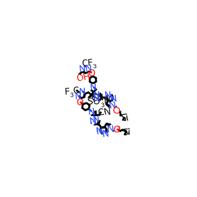 C[Si](C)(C)CCOCn1ccc2c(-c3cnn(C4(CC#N)CN(C5CCC(Oc6cc(CC(C#N)(CS(=O)(=O)O)C7(n8cc(-c9ncnc%10c9ccn%10COCC[Si](C)(C)C)cn8)CN(C8CCC(Oc9cc(CO)nc(C(F)(F)F)n9)CC8)C7)nc(C(F)(F)F)n6)CC5)C4)c3)ncnc21